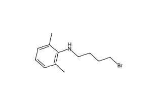 Cc1cccc(C)c1NCCCCBr